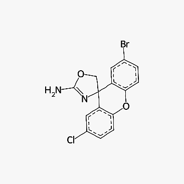 NC1=NC2(CO1)c1cc(Cl)ccc1Oc1ccc(Br)cc12